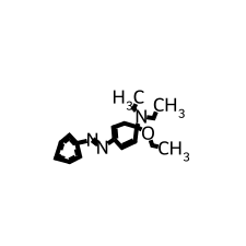 CCOC1(N(CC)CC)C=CC(N=Nc2ccccc2)=CC1